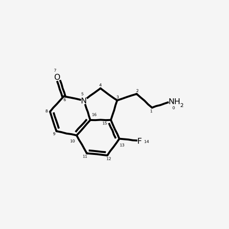 NCCC1Cn2c(=O)ccc3ccc(F)c1c32